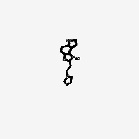 Cl.c1cn(CCc2nc3c(ccc4[nH]ccc43)o2)cn1